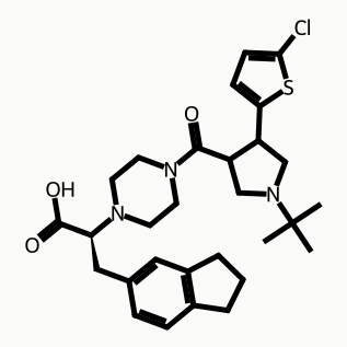 CC(C)(C)N1CC(C(=O)N2CCN([C@@H](Cc3ccc4c(c3)CCC4)C(=O)O)CC2)C(c2ccc(Cl)s2)C1